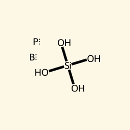 O[Si](O)(O)O.[B].[P]